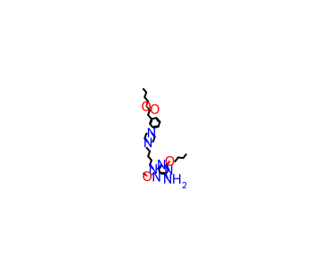 CCCCOC(=O)Cc1cccc(N2CCN(CCCCCn3c(OC)nc4c(N)nc(OCCCC)nc43)CC2)c1